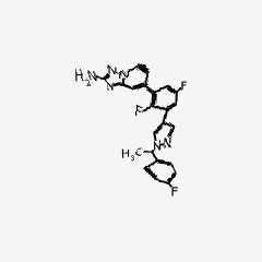 C[C@H](c1ccc(F)cc1)n1cc(-c2cc(F)cc(-c3ccn4nc(N)nc4c3)c2F)cn1